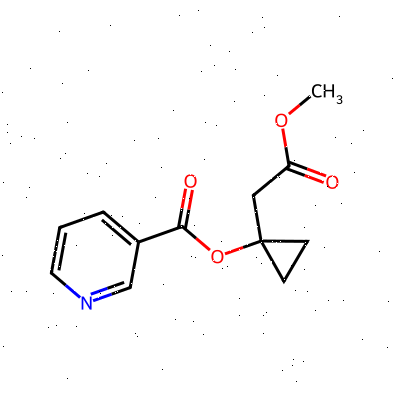 COC(=O)CC1(OC(=O)c2cccnc2)CC1